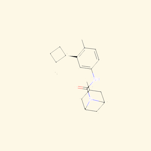 N#C[C@@H]1CC[C@H]1c1cc(NC(=O)N2C3CC2CC(C(F)(F)F)C3)ccc1C(F)(F)F